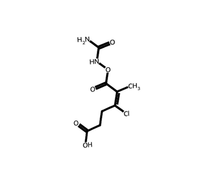 CC(C(=O)ONC(N)=O)=C(Cl)CCC(=O)O